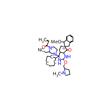 C=CC(=O)N1CCN(C2(C3CCCCCCC3)NC(OCC3CCCN3C)NC3C(=O)[C@@]4(CCC32)Cc2ccccc2C4OC)CC1CC#N